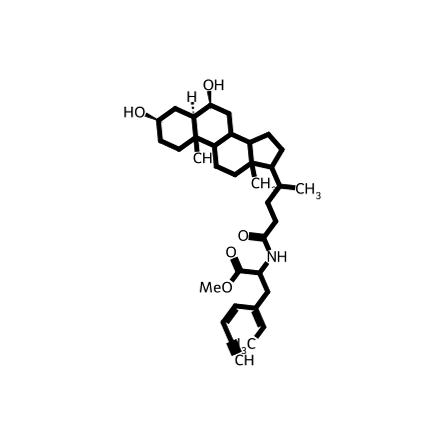 C#C/C=C\C(=C/C)CC(NC(=O)CCC(C)C1CCC2C3C[C@H](O)[C@@H]4C[C@H](O)CCC4(C)C3CCC12C)C(=O)OC